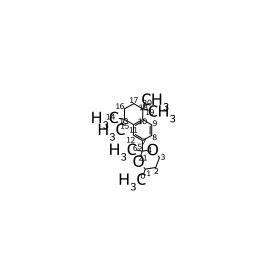 CC1CCOC(C)(c2ccc3c(c2)C(C)(C)CCC3(C)C)O1